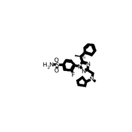 C[C@@H](c1ccccc1)c1nc(CN(C)C2CCCC2)nn1-c1ccc(S(N)(=O)=O)cc1F